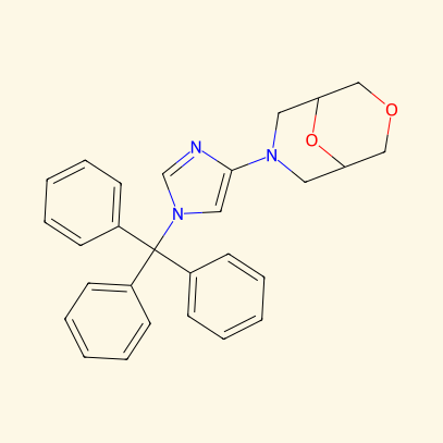 c1ccc(C(c2ccccc2)(c2ccccc2)n2cnc(N3CC4COCC(C3)O4)c2)cc1